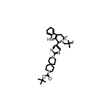 C[C@@H]1Cc2c([nH]c3c2=CCCC=3)C(c2cnc(N3CCC4(CCN(C(=O)OC(C)(C)C)CC4)CC3)nc2)N1CC(C)(C)F